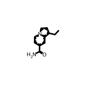 CCc1ccn2ccc(C(N)=O)cc12